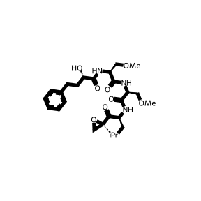 COC[C@H](NC(=O)[C@H](COC)NC(=O)[C@@H](O)CCc1ccccc1)C(=O)N[C@@H](CC(C)C)C(=O)[C@@]1(C)CO1